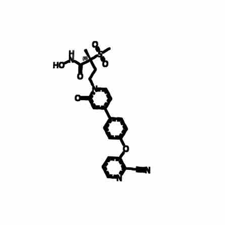 C[C@@](CCn1ccc(-c2ccc(Oc3cccnc3C#N)cc2)cc1=O)(C(=O)NO)S(C)(=O)=O